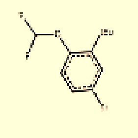 CC(C)(C)c1cc(Br)ccc1OC(F)F